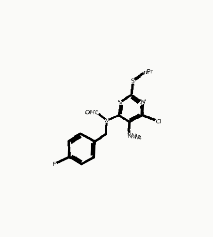 CCCSc1nc(Cl)c(NC)c(N(C=O)Cc2ccc(F)cc2)n1